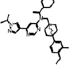 C=C(C1CCCCC1)N(CC12CCC(c3ccc(CC)c(C)c3)(CC1)CC2)c1cc(-c2cnn(C(C)C)c2)ncn1